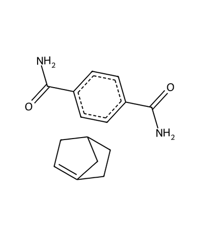 C1=C2CCC(C1)C2.NC(=O)c1ccc(C(N)=O)cc1